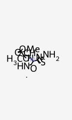 COC(=O)C(C)(C)O/N=C(\C([NH])=O)c1csc(N)n1